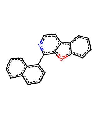 c1ccc2c(-c3nccc4c3oc3ccccc34)cccc2c1